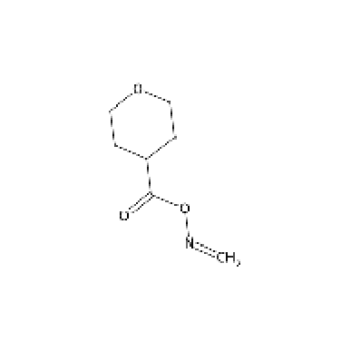 C=NOC(=O)C1CCOCC1